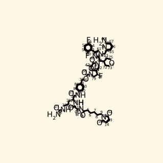 CC(C)[C@H](NC(=O)CCCCCN1C(=O)C=CC1=O)C(=O)N[C@@H](CCCNC(N)=O)C(=O)Nc1ccc(COC(=O)N2CC(CN(C(=O)[C@H](C)O)[C@@H](c3nc(-c4cc(F)ccc4F)cn3Cc3cccc(N)n3)C3CCOCC3)[C@@H](F)C2)cc1